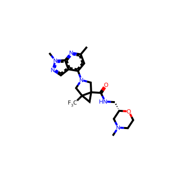 Cc1cc(N2CC3(C(=O)NC[C@H]4CN(C)CCO4)CC3(C(F)(F)F)C2)c2cnn(C)c2n1